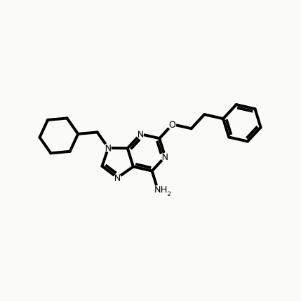 Nc1nc(OCCc2ccccc2)nc2c1ncn2CC1CCCCC1